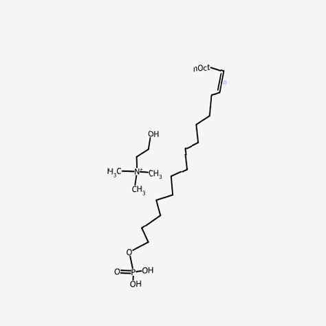 CCCCCCCC/C=C\CCCCCCCCCCCCOP(=O)(O)O.C[N+](C)(C)CCO